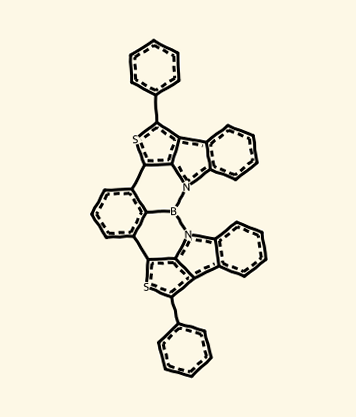 c1ccc(-c2sc3c4c2c2ccccc2n4B2c4c-3cccc4-c3sc(-c4ccccc4)c4c5ccccc5n2c34)cc1